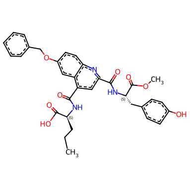 CCC[C@H](NC(=O)c1cc(C(=O)N[C@@H](Cc2ccc(O)cc2)C(=O)OC)nc2ccc(OCc3ccccc3)cc12)C(=O)O